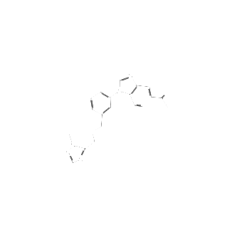 CC(=O)c1ccc2c(c1)ncn2-c1cccc(COCc2ncnn2C)c1